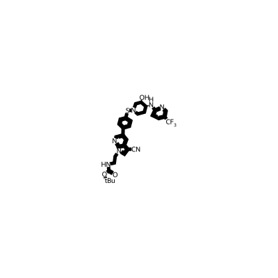 CC(C)(C)OC(=O)NCCn1cc(C#N)c2cc(-c3ccc(SN4CC[C@@H](Nc5ccc(C(F)(F)F)cn5)[C@@H](O)C4)cc3)cnc21